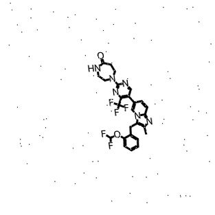 Cc1nc2ccc(-c3cnc(N4CCNC(=O)CC4)nc3C(F)(F)F)cn2c1Cc1ccccc1OC(F)F